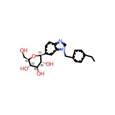 CCc1ccc(Cn2cnc3ccc([C@@H]4O[C@H](CO)[C@@H](O)[C@H](O)[C@H]4O)cc32)cc1